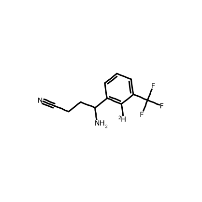 [2H]c1c(C(N)CCC#N)cccc1C(F)(F)F